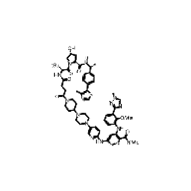 CNC(=O)c1nnc(Nc2ccc(N3CCN(C4CCN(C(=O)CCC(=O)N[C@H](C(=O)N5C[C@H](O)C[C@H]5C(=O)N[C@@H](C)c5ccc(-c6scnc6C)cc5)C(C)(C)C)CC4)CC3)cn2)cc1Nc1cccc(-c2ncn(C)n2)c1OC